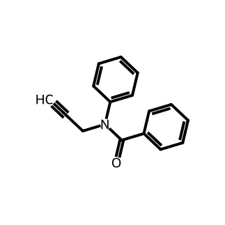 C#CCN(C(=O)c1ccccc1)c1ccccc1